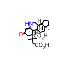 CC(C)(CC(=O)O)C1(C(=O)O)CC(=O)C=C2NC[C@H]3[C@@H]4CCC[C@@]4(C)CC[C@@H]3[C@]21C